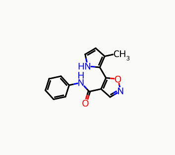 Cc1cc[nH]c1-c1oncc1C(=O)Nc1ccccc1